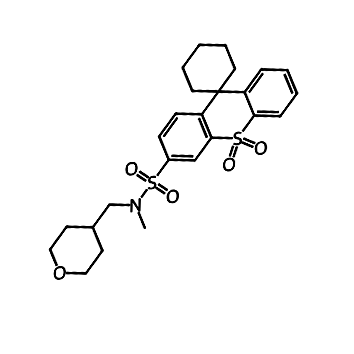 CN(CC1CCOCC1)S(=O)(=O)c1ccc2c(c1)S(=O)(=O)c1ccccc1C21CCCCC1